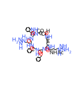 CC(=O)N[C@@H](CCCNC(=N)N)C(=O)N[C@H]1CCCNC(=O)CCC(C(=O)O)NC(=O)[C@H](Cc2c[nH]c3ccccc23)NC(=O)[C@H](CCCNC(=N)N)NC(=O)[C@@H](Cc2ccccc2)NC(=O)[C@H](COCc2ccccc2)NC1=O